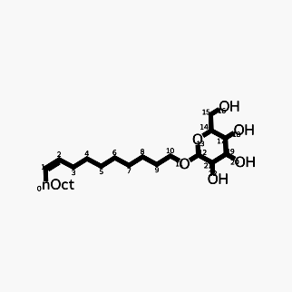 CCCCCCCC/C=C\CCCCCCCCOC1OC(CO)C(O)C(O)C1O